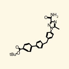 Cc1nc(C(N)=O)nn1-c1ccc(Cc2ccc(-c3ccc(C(=O)OC(C)(C)C)cc3)cc2)cc1